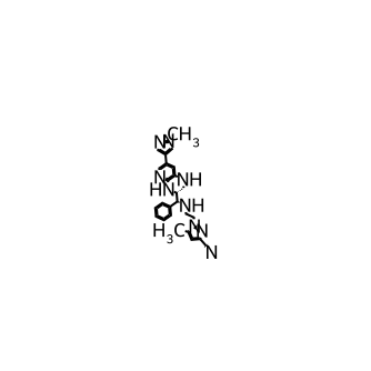 Cc1cc(C#N)nn1CCN[C@H](c1ccccc1)[C@H]1CNc2cc(-c3cnn(C)c3)cnc2N1